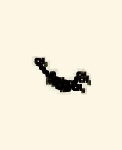 CCCCCCCCC(=O)O[C@H]1CC[C@@]2(C)C(=CC[C@H]3C4CC[C@H]([C@H](C)CCCC(C)C)[C@@]4(C)CC[C@@H]32)C1